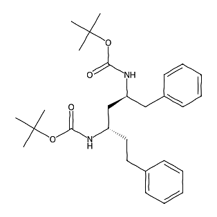 CC(C)(C)OC(=O)N[C@@H](CCc1ccccc1)C[C@H](Cc1ccccc1)NC(=O)OC(C)(C)C